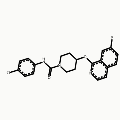 O=C(Nc1ccc(Cl)cc1)N1CCC(Oc2nccc3ccc(F)cc23)CC1